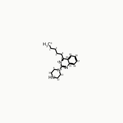 CCCCCc1nc(N2CCNCC2)nc2ccccc12